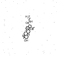 C=C(C)[C@@H]1C[C@@H](C(=O)NCCP)C2CC[C@]3(C)[C@H](CC[C@@H]4[C@@]5(C)CC[C@H](O)C(C)(C)[C@@H]5CC[C@]43C)[C@H]21